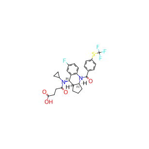 O=C(O)CCC(=O)N(C1CC1)[C@H]1c2cc(F)ccc2N(C(=O)c2ccc(SC(F)(F)F)cc2)[C@H]2CCC[C@H]21